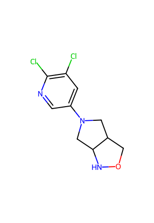 Clc1cc(N2CC3CONC3C2)cnc1Cl